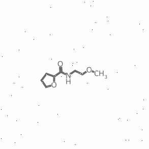 COCCNC(=O)C1CCCO1